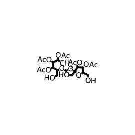 CC(=O)OC(C)C(OC(C)=O)C(OC(C)=O)C(CO)OCOC1(CO)OC(CO)C(OC(C)=O)C1OC(C)=O